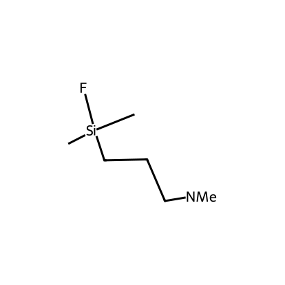 CNCCC[Si](C)(C)F